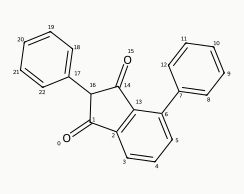 O=C1c2cccc(-c3ccccc3)c2C(=O)C1c1ccccc1